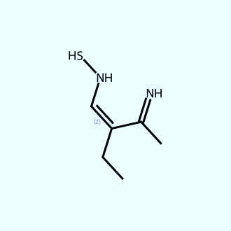 CC/C(=C/NS)C(C)=N